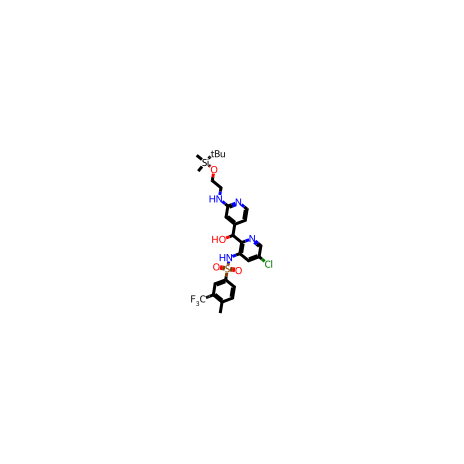 Cc1ccc(S(=O)(=O)Nc2cc(Cl)cnc2C(O)c2ccnc(NCCO[Si](C)(C)C(C)(C)C)c2)cc1C(F)(F)F